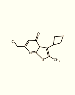 CC1=C(C2CCC2)C2C(=O)C=C(CCl)N=C2S1